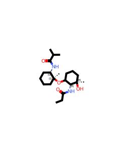 CCC(=O)N[C@@H]1C(O[C@@]2(C)CCCC[C@@H]2NC(=O)C(C)C)CCC[C@@]1(C)O